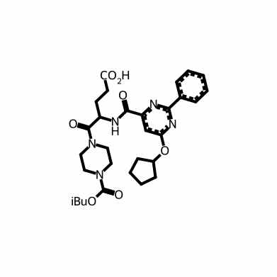 CC(C)COC(=O)N1CCN(C(=O)C(CCC(=O)O)NC(=O)c2cc(OC3CCCC3)nc(-c3ccccc3)n2)CC1